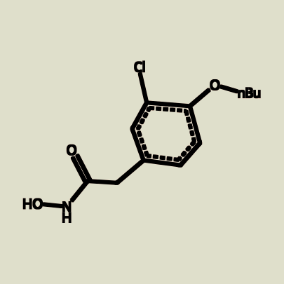 CCCCOc1ccc(CC(=O)NO)cc1Cl